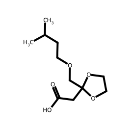 CC(C)CCOCC1(CC(=O)O)OCCO1